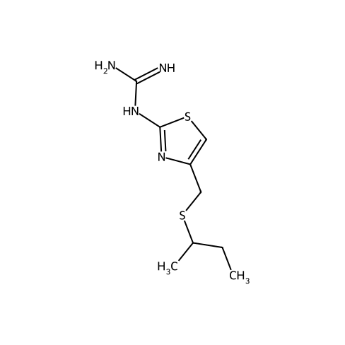 CCC(C)SCc1csc(NC(=N)N)n1